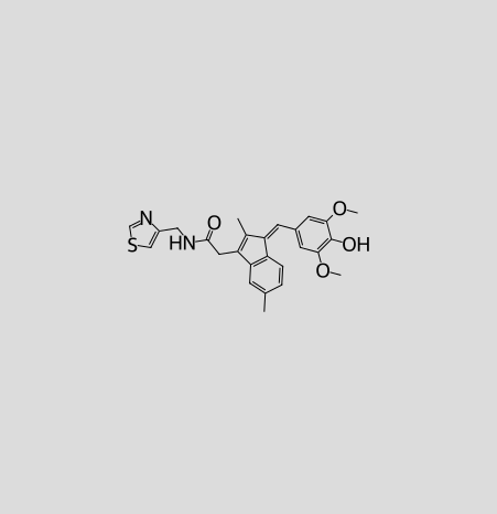 COc1cc(/C=C2/C(C)=C(CC(=O)NCc3cscn3)c3cc(C)ccc32)cc(OC)c1O